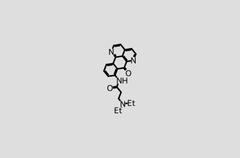 CCN(CC)CCC(=O)Nc1cccc2c1C(=O)c1nccc3ccnc-2c13